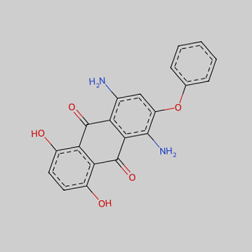 Nc1cc(Oc2ccccc2)c(N)c2c1C(=O)c1c(O)ccc(O)c1C2=O